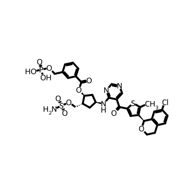 Cc1sc(C(=O)c2cncnc2N[C@H]2C[C@H](COS(N)(=O)=O)[C@@H](OC(=O)c3cccc(COP(=O)(O)O)c3)C2)cc1[C@@H]1OCCc2ccc(Cl)cc21